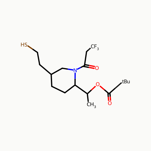 CC(OC(=O)C(C)(C)C)C1CCC(CCS)CN1C(=O)CC(F)(F)F